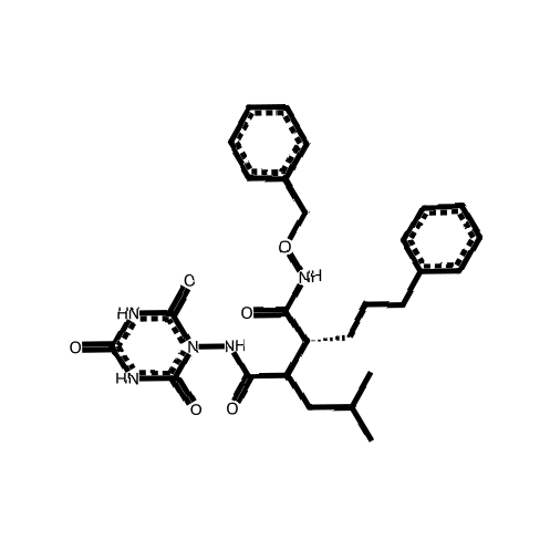 CC(C)CC(C(=O)Nn1c(=O)[nH]c(=O)[nH]c1=O)[C@@H](CCCc1ccccc1)C(=O)NOCc1ccccc1